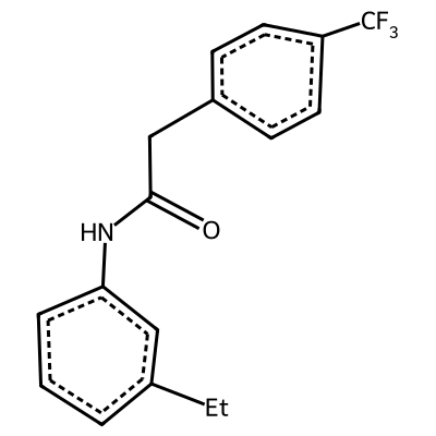 CCc1cccc(NC(=O)Cc2ccc(C(F)(F)F)cc2)c1